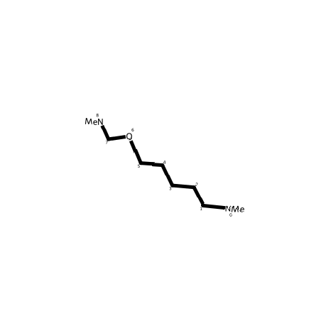 CNCCCCCOCNC